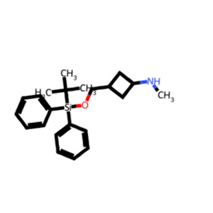 CNC1CC(CO[Si](c2ccccc2)(c2ccccc2)C(C)(C)C)C1